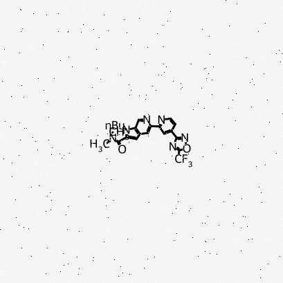 CCCCn1c(C(=O)N(C)C)cc2cc(-c3cc(-c4noc(C(F)(F)F)n4)ccn3)ncc21